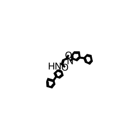 C(=C1\Nc2cc(-c3ccccc3)ccc2O1)/c1nc2cc(-c3ccccc3)ccc2o1